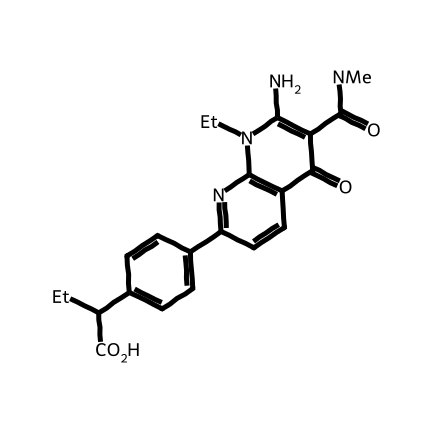 CCC(C(=O)O)c1ccc(-c2ccc3c(=O)c(C(=O)NC)c(N)n(CC)c3n2)cc1